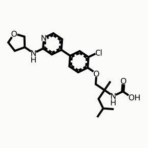 CC(C)CC(C)(COc1ccc(-c2ccnc(NC3CCOC3)c2)cc1Cl)NC(=O)O